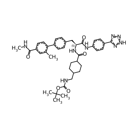 CNC(=O)c1ccc(-c2ccc(C[C@H](NC(=O)C3CCC(CNC(=O)OC(C)(C)C)CC3)C(=O)Nc3ccc(-c4nn[nH]n4)cc3)cc2)c(C)c1